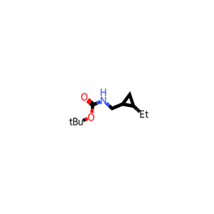 CCC1CC1CNC(=O)OC(C)(C)C